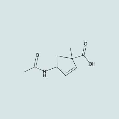 CC(=O)NC1C=CC(C)(C(=O)O)C1